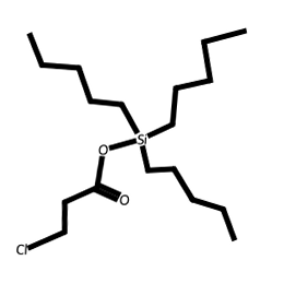 CCCCC[Si](CCCCC)(CCCCC)OC(=O)CCCl